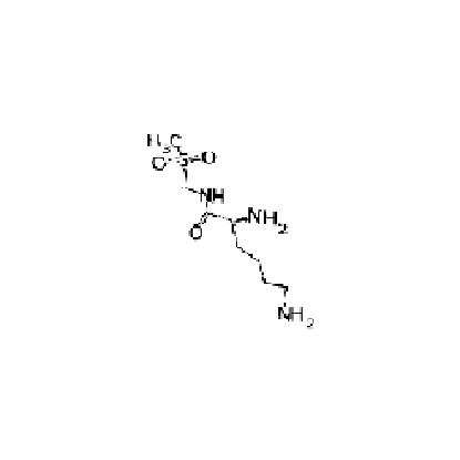 CS(=O)(=O)[CH]NC(=O)[C@@H](N)CCCCN